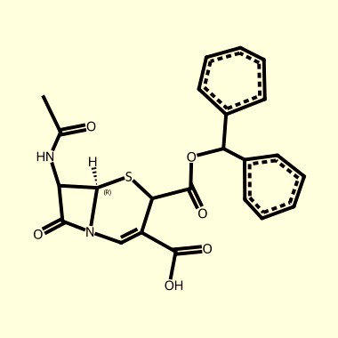 CC(=O)NC1C(=O)N2C=C(C(=O)O)C(C(=O)OC(c3ccccc3)c3ccccc3)S[C@H]12